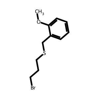 COc1ccccc1CSCCCBr